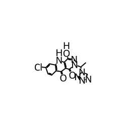 CC(n1cnnn1)n1nc(O)c2[nH]c3cc(Cl)ccc3c(=O)c2c1=O